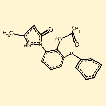 CC(=O)Nc1c(Oc2ccccc2)cccc1-n1[nH]c(C)cc1=O